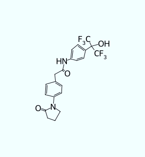 O=C(Cc1ccc(N2CCCC2=O)cc1)Nc1ccc(C(O)(C(F)(F)F)C(F)(F)F)cc1